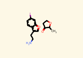 CC1OCCC1=O.NCCc1coc2cc(I)ccc12